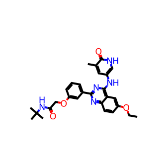 CCOc1ccc2nc(-c3cccc(OCC(=O)NC(C)(C)C)c3)nc(Nc3c[nH]c(=O)c(C)c3)c2c1